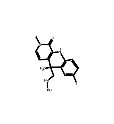 CCC(C)NCC1(C(F)(F)F)c2cc(F)ccc2Nc2c1ccn(C)c2=O